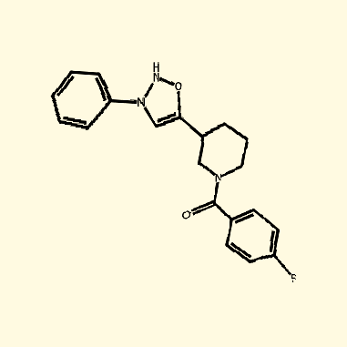 O=C(c1ccc(F)cc1)N1CCCC(C2=CN(c3ccccc3)NO2)C1